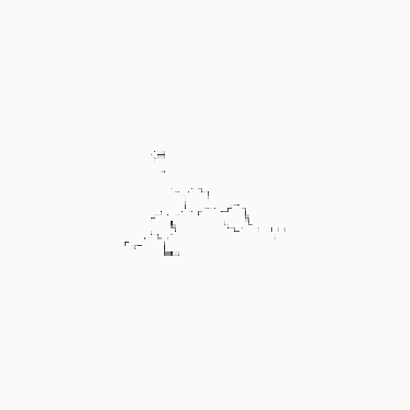 Cc1ccc(-c2cc(-c3ccc(C(=O)O)cc3)ccc2CCCO)cc1C(C)(C)C